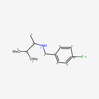 COC(OC)C(C)NCc1ccc(F)cc1